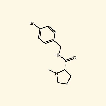 CN1CCC[C@H]1C(=O)NCc1ccc(Br)cc1